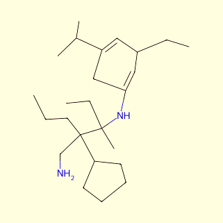 CCCC(CN)(C1CCCC1)C(C)(CC)NC1=CC(CC)C=C(C(C)C)C1